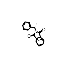 C[C@@H](c1ccccc1)N1C(=O)C2C3C=CC(O3)C2C1=O